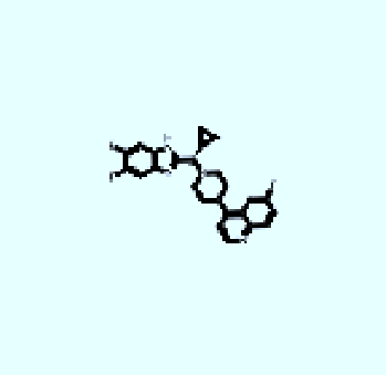 Fc1ccc2nccc(C3CCN([C@@H](c4nc5cc(F)c(F)cc5[nH]4)C4CC4)CC3)c2c1